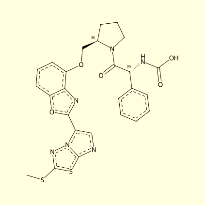 CSc1nn2c(-c3nc4c(OC[C@H]5CCCN5C(=O)[C@H](NC(=O)O)c5ccccc5)cccc4o3)cnc2s1